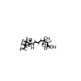 C[N+](C)(CCCNS(=O)(=O)C(F)(F)C(F)(F)CF)CC(=O)O